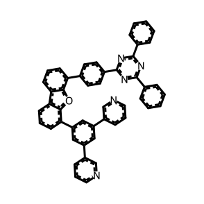 c1ccc(-c2nc(-c3ccccc3)nc(-c3ccc(-c4cccc5c4oc4c(-c6cc(-c7cccnc7)cc(-c7cccnc7)c6)cccc45)cc3)n2)cc1